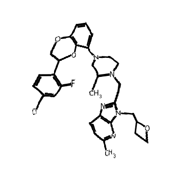 Cc1ccc2nc(CN3CCN(c4cccc5c4OC(c4ccc(Cl)cc4F)CO5)CC3C)n(CC3CCO3)c2n1